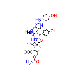 NC(=O)OCC1=C(C(=O)[O-])N2C(=O)C(NC(=O)C(c3ccc(O)cc3)N(C(N)=O)c3cnc(NC4CCC(O)CC4)nc3O)[C@@H]2SC1.[Na+]